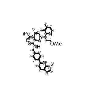 COCC[C@H](c1nccc(C)c1F)N1C[C@@H](C)N(C(=O)C(C)C)[C@@H](C(=O)NCc2ccc(-c3ccc4ccn(C)c4n3)cc2)C1